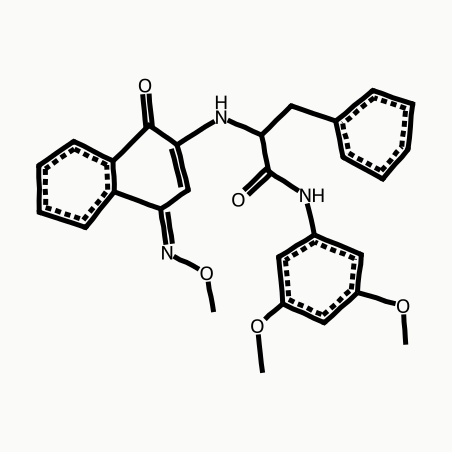 CON=C1C=C(NC(Cc2ccccc2)C(=O)Nc2cc(OC)cc(OC)c2)C(=O)c2ccccc21